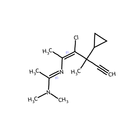 C#CC(C)(/C(Cl)=C(C)\N=C(/C)N(C)C)C1CC1